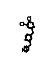 Clc1ccc(Cc2cc[c]c(Cn3ccnc3)c2)cc1Cl